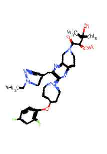 CCn1cc(-c2nc3c(nc2N2CCC(Oc4ccc(F)cc4F)CC2)CCN(C(=O)C(O)C(C)(C)O)C3)cn1